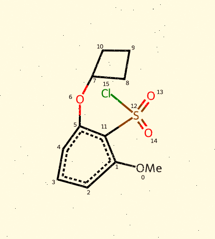 COc1cccc(OC2CCC2)c1S(=O)(=O)Cl